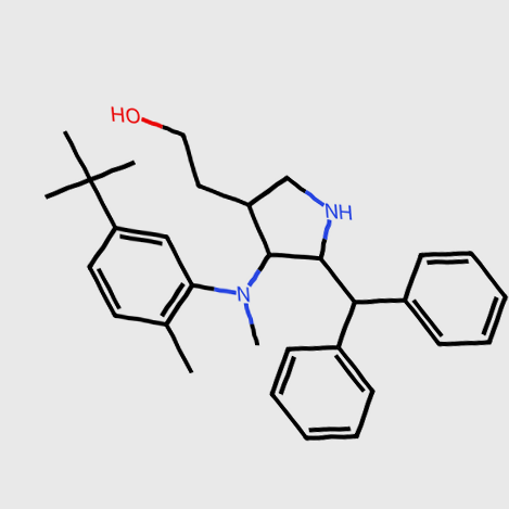 Cc1ccc(C(C)(C)C)cc1N(C)C1C(CCO)CNC1C(c1ccccc1)c1ccccc1